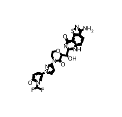 Nc1nsc2c1ccc1[nH]c(C(O)C3OCCN(c4ccn(-c5ccc(=O)n(C(F)F)c5)n4)C3=O)nc(=O)c12